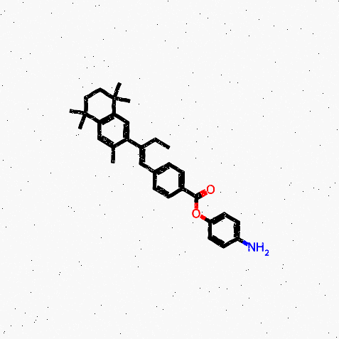 CCC(=Cc1ccc(C(=O)Oc2ccc(N)cc2)cc1)c1cc2c(cc1C)C(C)(C)CCC2(C)C